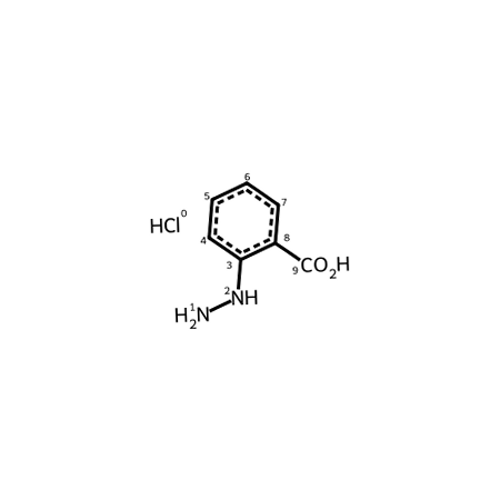 Cl.NNc1ccccc1C(=O)O